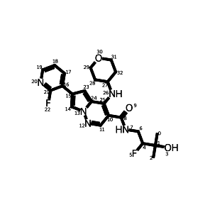 CC(C)(O)C(F)CNC(=O)c1cnn2cc(-c3cccnc3F)cc2c1NC1CCOCC1